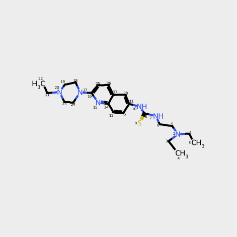 CCN(CC)CCNC(=S)Nc1ccc2nc(N3CCN(CC)CC3)ccc2c1